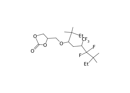 CCC(C)(C)C(CC(C(F)(F)F)C(F)(F)C(C)(C)CC)OCC1COC(=O)O1